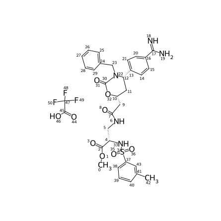 COC(=O)[C@H](CNC(=O)C[C@H]1C[C@@H](c2ccc(C(=N)N)cc2)N(Cc2ccccc2)C(=O)O1)NS(=O)(=O)c1cccc(C)c1.O=C(O)C(F)(F)F